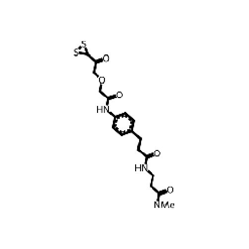 CNC(=O)CCNC(=O)CCc1ccc(NC(=O)COCC(=O)C2SS2)cc1